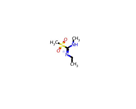 CC/N=C(\NC)S(C)(=O)=O